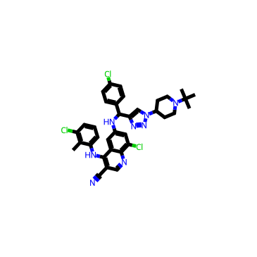 Cc1c(Cl)cccc1Nc1c(C#N)cnc2c(Cl)cc(NC(c3ccc(Cl)cc3)c3cn(C4CCN(C(C)(C)C)CC4)nn3)cc12